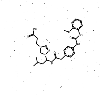 COc1ccccc1NC(=O)Nc1ccc(CC(=O)NC(CC(C)C)N2CN(CCC(=O)O)N=N2)cc1